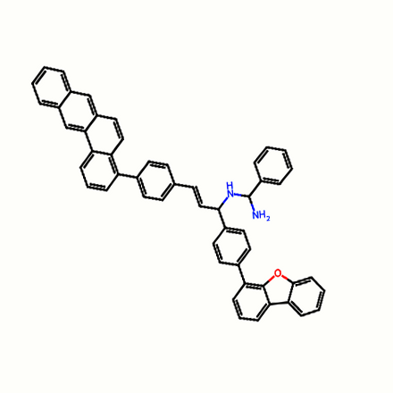 NC(NC(/C=C/c1ccc(-c2cccc3c2ccc2cc4ccccc4cc23)cc1)c1ccc(-c2cccc3c2oc2ccccc23)cc1)c1ccccc1